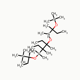 CCC(C)(O[Si](C)(C)C)[SiH](C)OC(C)(CC)C(C)(CC)[Si](C)(C)O[C@](C)(CC)[Si](C)(C)C